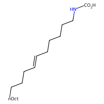 CCCCCCCCCCCC=CCCCCCNC(=O)O